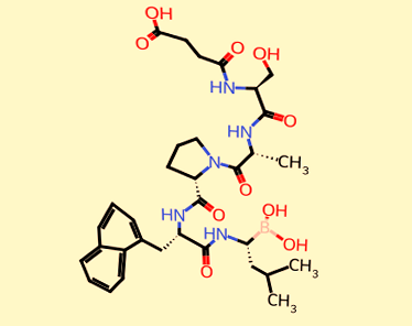 CC(C)C[C@H](NC(=O)[C@H](Cc1cccc2ccccc12)NC(=O)[C@@H]1CCCN1C(=O)[C@@H](C)NC(=O)[C@H](CO)NC(=O)CCC(=O)O)B(O)O